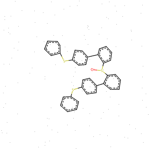 [O-][S+](c1ccccc1-c1ccc(Sc2ccccc2)cc1)c1ccccc1-c1ccc(Sc2ccccc2)cc1